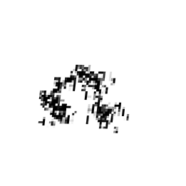 CN[C@H](CCCCNC(=O)CCC(C)(C)OCCC(C)(C)OCCNC(=O)CC[C@H](NC(=O)C(N)CC(C)C(=O)O)C(=O)O)C(=O)C(C)(C)C